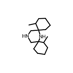 CC1CCCCC12CNCC1(CCCCC1C)N2